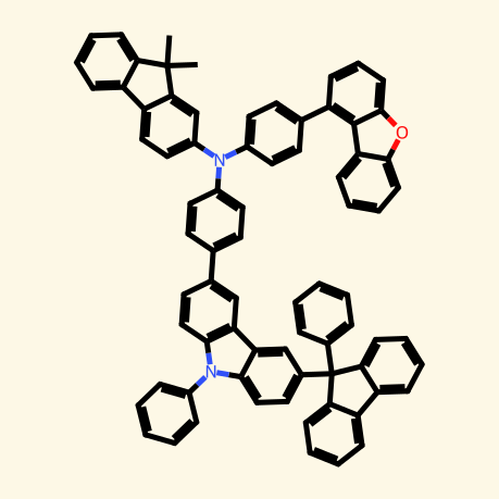 CC1(C)c2ccccc2-c2ccc(N(c3ccc(-c4ccc5c(c4)c4cc(C6(c7ccccc7)c7ccccc7-c7ccccc76)ccc4n5-c4ccccc4)cc3)c3ccc(-c4cccc5oc6ccccc6c45)cc3)cc21